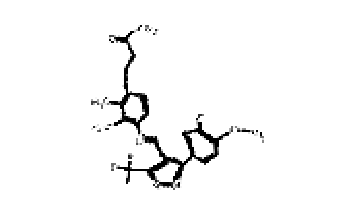 COc1ccc(-c2nsc(C(F)(F)F)c2COc2ccc(CCC(=O)O)c(C)c2C)cc1F